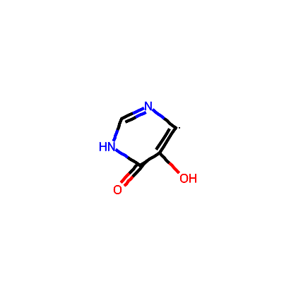 O=c1[nH]cn[c]c1O